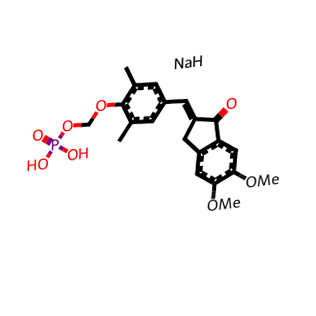 COc1cc2c(cc1OC)C(=O)C(=Cc1cc(C)c(OCOP(=O)(O)O)c(C)c1)C2.[NaH]